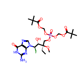 CC[C@](COP(=O)(OCOC(=O)C(C)(C)C)OCOC(=O)C(C)(C)C)(OC)[C@@H](O)[C@@H](F)n1cnc2c(=O)[nH]c(N)nc21